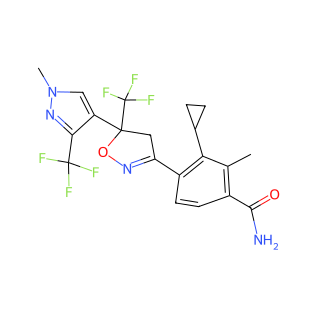 Cc1c(C(N)=O)ccc(C2=NOC(c3cn(C)nc3C(F)(F)F)(C(F)(F)F)C2)c1C1CC1